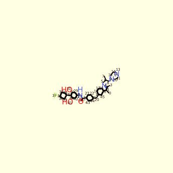 Cc1c(C)n(CC(C)CN2CCN(C)CC2)c2ccc(Cc3ccc(C(=O)Nc4cc(O)c(-c5ccc(F)cc5)c(O)c4)cc3)cc12